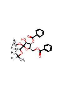 CC(OC(C)(C)C)C1(O[SiH](C)C)O[C@H](COC(=O)c2ccccc2)[C@@H](OC(=O)c2ccccc2)[C@@H]1O